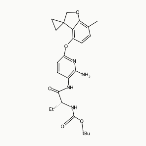 CC[C@@H](NC(=O)OC(C)(C)C)C(=O)Nc1ccc(Oc2ccc(C)c3c2C2(CC2)CO3)nc1N